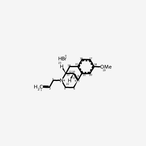 Br.C=CCN1CC[C@]23CCCC[C@H]2[C@H]1Cc1ccc(OC)cc13